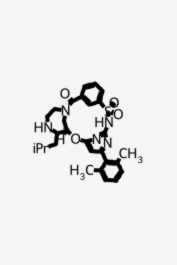 Cc1cccc(C)c1-c1cc2nc(n1)NS(=O)(=O)c1cccc(c1)C(=O)N1CCNC(CC(C)C)[C@H](C1)O2